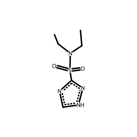 CCN(CC)S(=O)(=O)c1nc[nH]n1